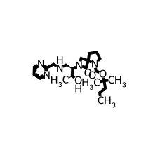 CCCC(C)(C)OC(=O)N1CCCC12CN([C@H](CNCc1ncccn1)[C@@H](C)O)C2=O